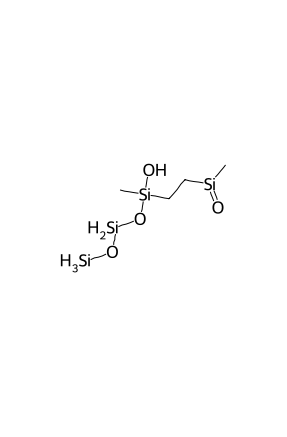 C[Si](=O)CC[Si](C)(O)O[SiH2]O[SiH3]